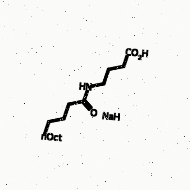 CCCCCCCCCCCC(=O)NCCCC(=O)O.[NaH]